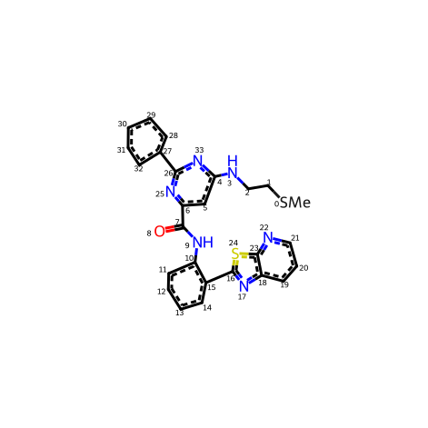 CSCCNc1cc(C(=O)Nc2ccccc2-c2nc3cccnc3s2)nc(-c2ccccc2)n1